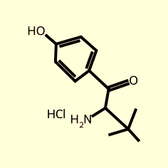 CC(C)(C)C(N)C(=O)c1ccc(O)cc1.Cl